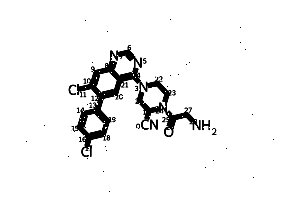 N#CC1CN(c2ncnc3cc(Cl)c(-c4ccc(Cl)cc4)cc23)CCN1C(=O)CN